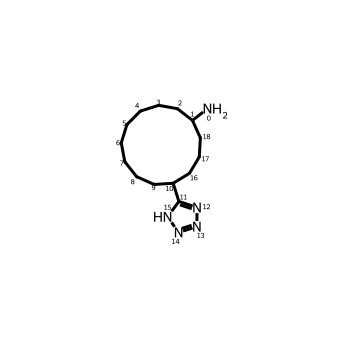 NC1CCCCCCCCC(c2nnn[nH]2)CCC1